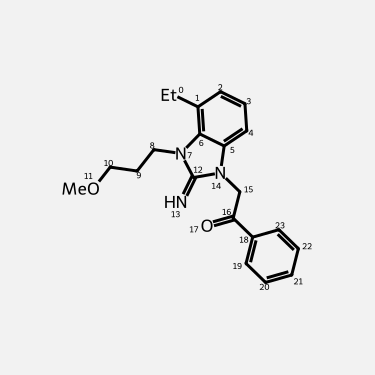 CCc1cccc2c1n(CCCOC)c(=N)n2CC(=O)c1ccccc1